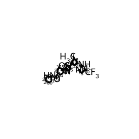 Cc1cc(Nc2nccc(C(F)(F)F)n2)cc(-c2cnc(C3(O)CCC(C(=O)NC4CCCCC4)CC3)s2)c1